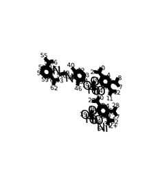 CC(C)c1cc(C(C)C)c(C(C)C)c(O)c1OC(=O)[O-].CC(C)c1cc(C(C)C)c(C(C)C)c(O)c1OC(=O)[O-].Cc1cccc(C)c1N=CC=Nc1c(C(C)C)cccc1C(C)C.[Ni+2]